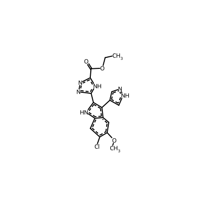 CCOC(=O)c1nnc(-c2[nH]c3cc(Cl)c(OC)cc3c2-c2cn[nH]c2)[nH]1